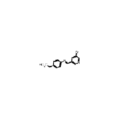 O=C(O)Cc1ccc(N=Cc2cncc(Br)c2)cc1